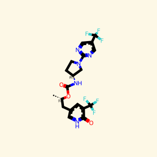 C[C@@H](Cc1c[nH]c(=O)c(C(F)(F)F)c1)OC(=O)N[C@@H]1CCN(c2ncc(C(F)(F)F)cn2)C1